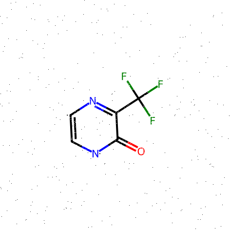 O=C1[N]C=[C]N=C1C(F)(F)F